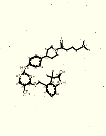 CN(C)CCCC(=O)N1CCC(c2ccc(Nc3ncc(C(F)(F)F)c(NCc4cccc5c4C(C)(C)C(=O)N5)n3)cc2)CC1